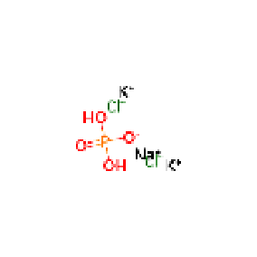 O=P([O-])(O)O.[Cl-].[Cl-].[K+].[K+].[Na+]